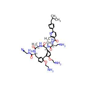 Cc1nc(-c2ccc(CC(C)C)cc2)ccc1C(=O)N[C@@H](CCN)C(=O)N(C)[C@@H]1C(=O)N[C@@H](C)C(=O)N[C@H](C(=O)NCC#N)Cc2ccc(OCCN)c(c2)-c2cc1ccc2OCCN